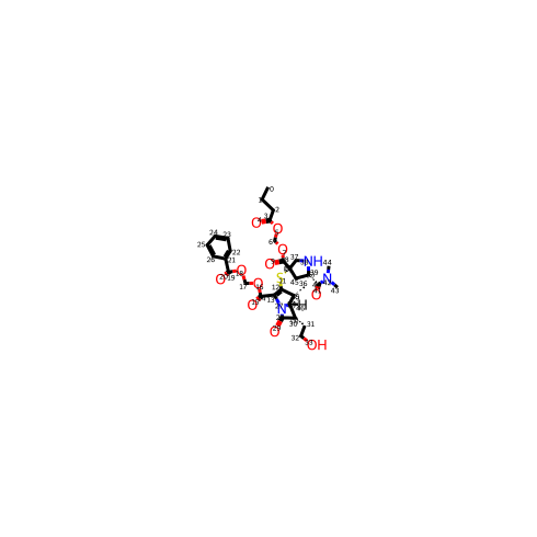 CCCC(=O)OCOC(=O)[C@@]1(SC2=C(C(=O)OCOC(=O)c3ccccc3)N3C(=O)[C@@H](CCO)[C@H]3[C@H]2C)CN[C@H](C(=O)N(C)C)C1